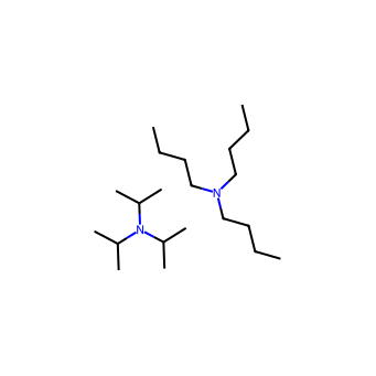 CC(C)N(C(C)C)C(C)C.CCCCN(CCCC)CCCC